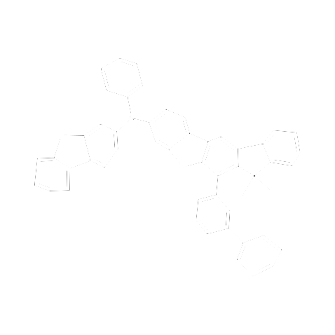 CC1(C)c2ccccc2-c2cc3c(oc4cc(N(c5ccccc5)c5ccc6c(c5)oc5ccccc56)ccc43)c(-c3cccc(-c4ccccc4)c3)c21